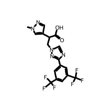 Cn1cc(C(Cn2cnc(-c3cc(C(F)(F)F)cc(C(F)(F)F)c3)n2)C(=O)O)cn1